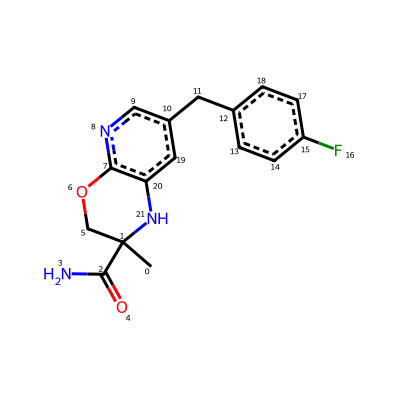 CC1(C(N)=O)COc2ncc(Cc3ccc(F)cc3)cc2N1